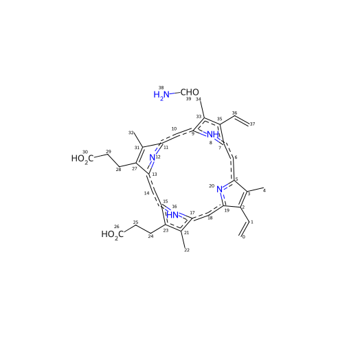 C=CC1=C(C)c2cc3[nH]c(cc4nc(cc5[nH]c(cc1n2)c(C)c5CCC(=O)O)C(CCC(=O)O)=C4C)c(C)c3C=C.NC=O